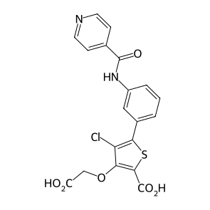 O=C(O)COc1c(C(=O)O)sc(-c2cccc(NC(=O)c3ccncc3)c2)c1Cl